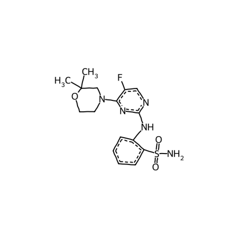 CC1(C)CN(c2nc(Nc3ccccc3S(N)(=O)=O)ncc2F)CCO1